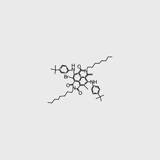 C=c1c2c(Nc3ccc(C(C)(C)C)cc3)c(C)c3c4c(c(Br)c(Nc5ccc(C(C)(C)C)cc5)c(c(=O)n1CCCCCCCC)c42)C(=O)N(CCCCCCCC)C3=O